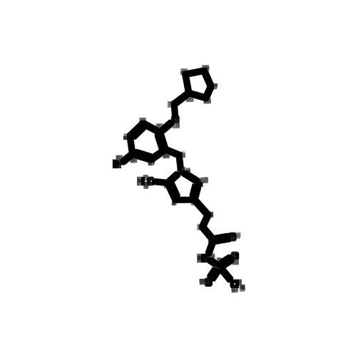 Cc1cc(CCC(=O)NS(=O)(=O)C(F)(F)F)nn1Cc1cc(Br)ccc1OCC1CCCC1